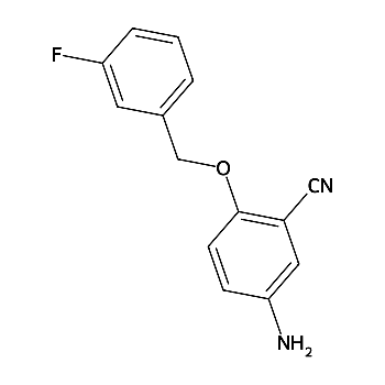 N#Cc1cc(N)ccc1OCc1cccc(F)c1